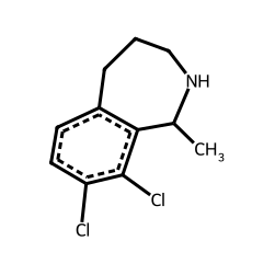 CC1NCCCc2ccc(Cl)c(Cl)c21